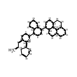 C=C/C=c1/ccc(-c2ccc(-c3ccc4c5c3ccc3cccc(c35)CC4)c3ccccc23)n/c1=C1/CC=CC=N1